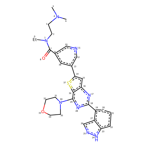 CCN(CCN(C)C)C(=O)c1cncc(-c2cc3nc(-c4cccc5[nH]ncc45)nc(N4CCOCC4)c3s2)c1